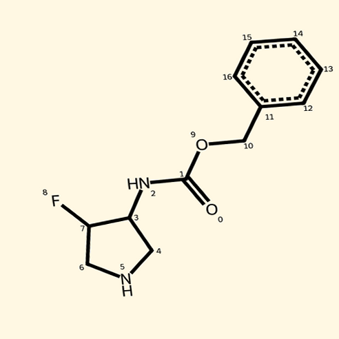 O=C(NC1CNCC1F)OCc1ccccc1